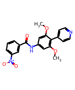 COc1cc(NC(=O)c2cccc([N+](=O)[O-])c2)cc(OC)c1-c1ccncc1